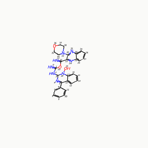 N=C(NC1N=C(c2ccccc2)c2ccccc2N1O)OC(=N)c1nc2ccccc2nc1N1CCOCC1